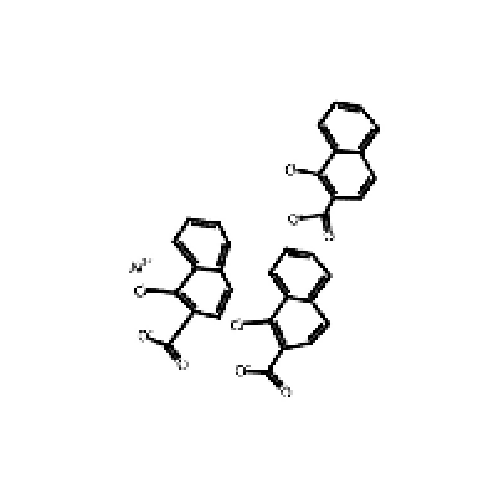 O=C([O-])c1ccc2ccccc2c1Cl.O=C([O-])c1ccc2ccccc2c1Cl.O=C([O-])c1ccc2ccccc2c1Cl.[Al+3]